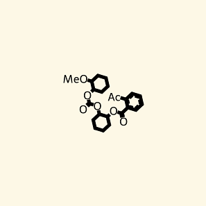 COC1CCCCC1OC(=O)OC1CCCCC1OC(=O)c1ccccc1C(C)=O